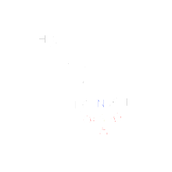 CCCCCC[N+](C)(C)S(=O)(=O)[O-]